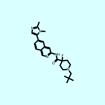 Cc1ncc(-c2ccc3cnc(NC(=O)C4(F)CCN(CC(C)(C)C)CC4)cc3c2)n1C